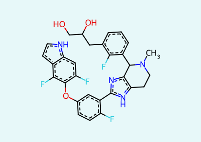 CN1CCc2[nH]c(-c3cc(Oc4c(F)cc5[nH]ccc5c4F)ccc3F)nc2C1c1cccc(CC(O)CO)c1F